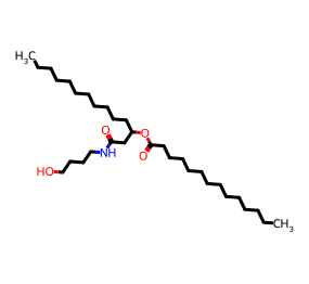 CCCCCCCCCCCCCC(=O)OC(CCCCCCCCCCC)CC(=O)NCCCCO